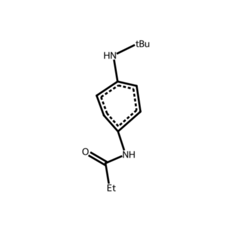 CCC(=O)Nc1ccc(NC(C)(C)C)cc1